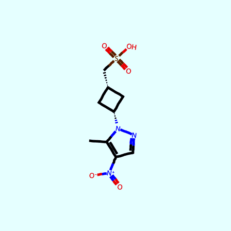 Cc1c([N+](=O)[O-])cnn1[C@H]1C[C@@H](CS(=O)(=O)O)C1